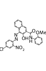 COc1ccccc1NC(=O)c1cc2ccccc2c(/N=N/c2ccc(Cl)cc2[N+](=O)[O-])c1O